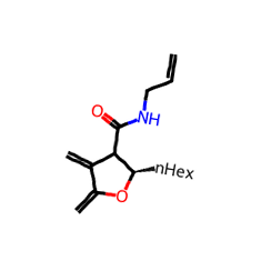 C=CCNC(=O)C1C(=C)C(=C)O[C@@H]1CCCCCC